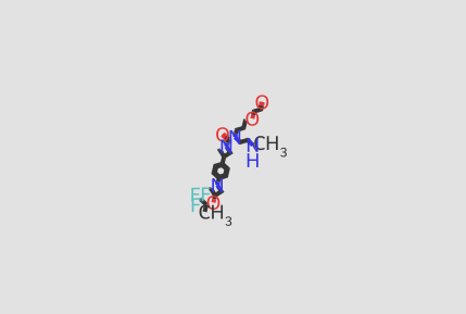 CNCCN(CCCOCC=O)C(=O)N1CC(c2ccc(N3CC(OC(C)C(F)(F)F)C3)cc2)C1